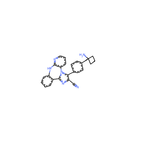 N#Cc1nc2n(c1-c1ccc(C3(N)CCC3)cc1)-c1cccnc1Nc1ccccc1-2